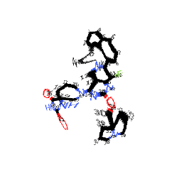 N#Cc1cccc2cccc(-c3ncc4c(N5CCCC6(C5)NC(=O)NC6=O)nc(OCC56CCCN5CCC6)nc4c3F)c12